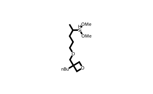 CCCCC1(COCCCC(C)[SiH](OC)OC)COC1